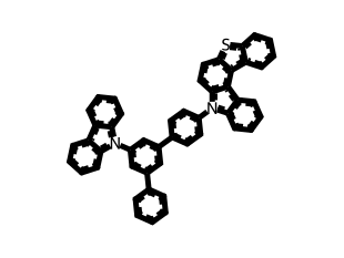 c1ccc(-c2cc(-c3ccc(-n4c5ccccc5c5c6c(ccc54)sc4ccccc46)cc3)cc(-n3c4ccccc4c4ccccc43)c2)cc1